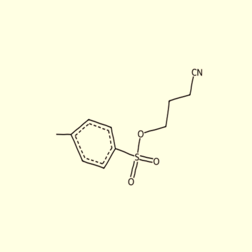 Cc1ccc(S(=O)(=O)OCCCC#N)cc1